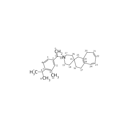 C=C(c1ccc(C(C)C)c(C)c1)N1CCC2(CCC3=C(CC=CC=C3)C2)CC1